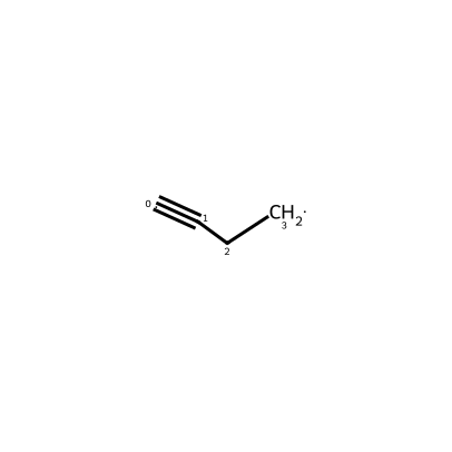 [C]#CC[CH2]